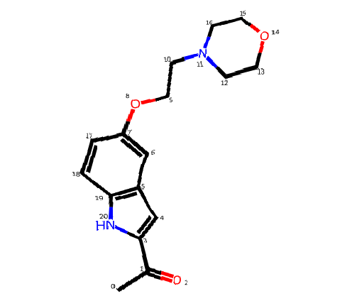 CC(=O)c1cc2cc(OCCN3CCOCC3)ccc2[nH]1